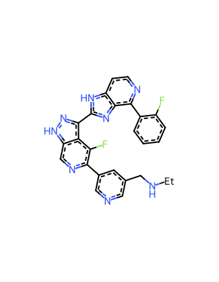 CCNCc1cncc(-c2ncc3[nH]nc(-c4nc5c(-c6ccccc6F)nccc5[nH]4)c3c2F)c1